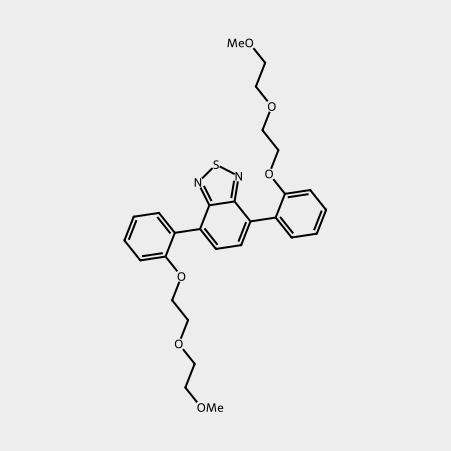 COCCOCCOc1ccccc1-c1ccc(-c2ccccc2OCCOCCOC)c2nsnc12